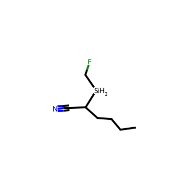 CCCCC(C#N)[SiH2]CF